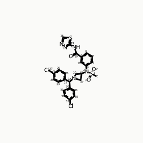 CS(=O)(=O)N(c1cccc(C(=O)Nc2nncs2)c1)C1CN(C(c2ccc(Cl)cc2)c2ccc(Cl)cc2)C1